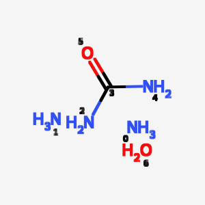 N.N.NC(N)=O.O